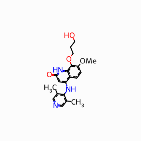 COc1ccc2c(Nc3c(C)cncc3C)cc(=O)[nH]c2c1OCCCO